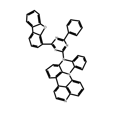 c1ccc(-c2nc(-c3cccc4c3oc3ccccc34)nc(-n3c4cccc5c4-n(c4cccc6nccc5c64)c4ccccc43)n2)cc1